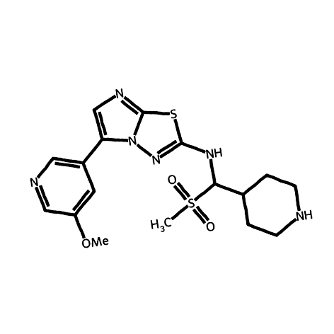 COc1cncc(-c2cnc3sc(NC(C4CCNCC4)S(C)(=O)=O)nn23)c1